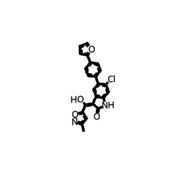 Cc1cc(C(O)=C2C(=O)Nc3cc(Cl)c(-c4ccc(-c5ccco5)cc4)cc32)on1